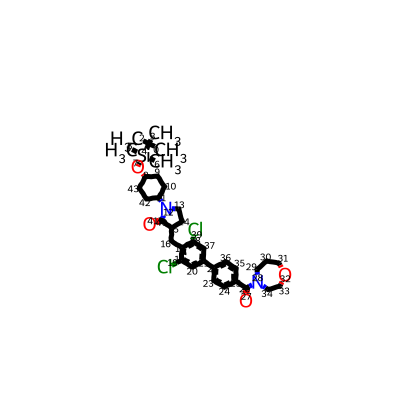 CC(C)(C)[Si](C)(C)OC1CCC(N2CCC(Cc3c(Cl)cc(-c4ccc(C(=O)N5CCCOCC5)cc4)cc3Cl)C2=O)CC1